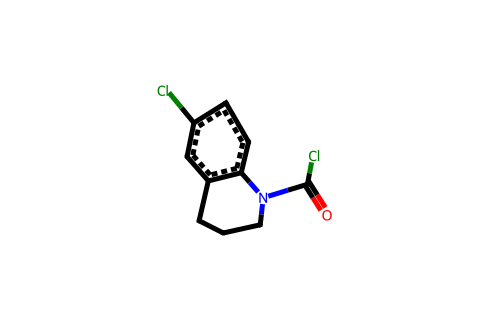 O=C(Cl)N1CCCc2cc(Cl)ccc21